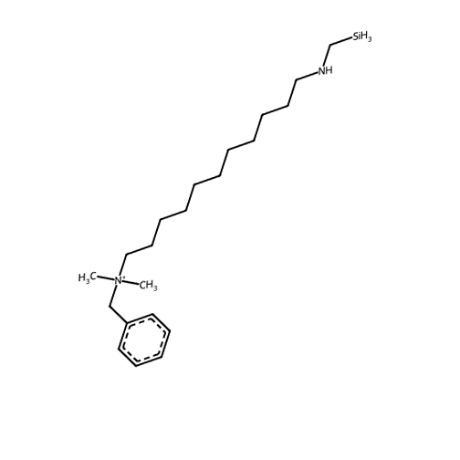 C[N+](C)(CCCCCCCCCCCNC[SiH3])Cc1ccccc1